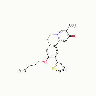 COCCCOc1cc2c(cc1-c1cccs1)-c1cc(=O)c(C(=O)O)cn1CC2